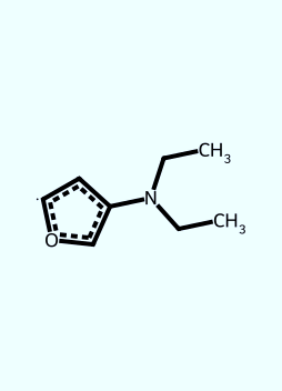 CCN(CC)c1c[c]oc1